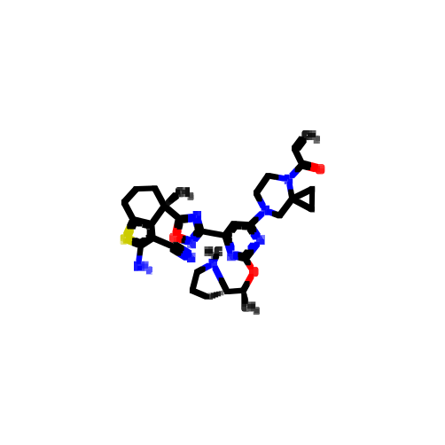 C=CC(=O)N1CCN(c2cc(-c3noc([C@@]4(C)CCCc5sc(N)c(C#N)c54)n3)nc(O[C@@H](C)[C@@H]3CCCN3C)n2)CC12CC2